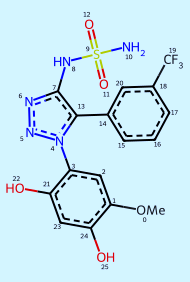 COc1cc(-n2nnc(NS(N)(=O)=O)c2-c2cccc(C(F)(F)F)c2)c(O)cc1O